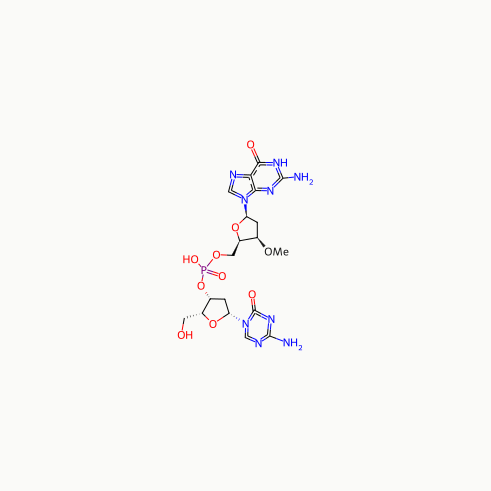 CO[C@@H]1C[C@H](n2cnc3c(=O)[nH]c(N)nc32)O[C@@H]1COP(=O)(O)O[C@@H]1C[C@H](n2cnc(N)nc2=O)O[C@@H]1CO